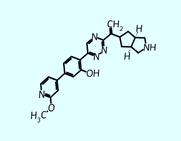 C=C(c1ncc(-c2ccc(-c3ccnc(OC)c3)cc2O)nn1)C1C[C@H]2CNC[C@H]2C1